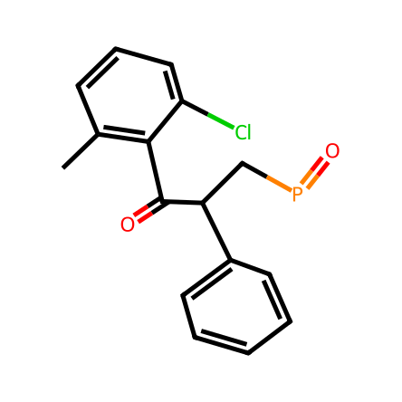 Cc1cccc(Cl)c1C(=O)C(CP=O)c1ccccc1